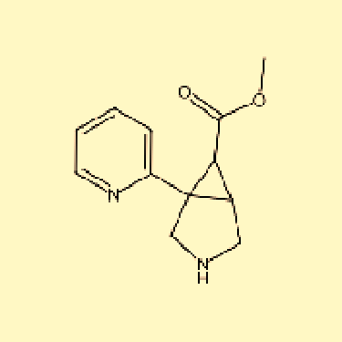 COC(=O)C1C2CNCC21c1ccccn1